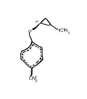 Cc1ccc(O[C@H]2CC2C)cc1